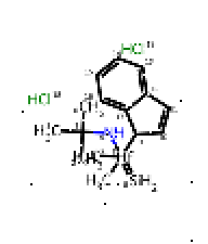 CC(C)(C)[NH][Hf]([CH3])([CH3])(=[SiH2])[CH]1C=Cc2ccccc21.Cl.Cl